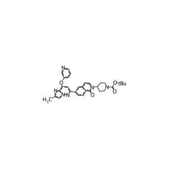 Cc1cn2nc(-c3ccc4c(=O)n(C5CCN(C(=O)OC(C)(C)C)CC5)ccc4c3)cc(Oc3cccnc3)c2n1